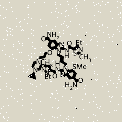 CCc1nc(C)sc1C(=O)Nc1nc2cc(C(N)=O)cc(OCCCN3CCN(C4CC4)CC3)c2n1C/C=C/Cn1c(NC(=O)c2cc(C)nn2CC)nc2cc(C(N)=O)cc(SC)c21